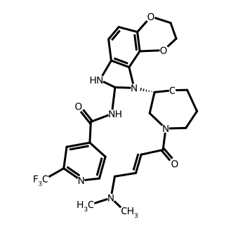 CN(C)C/C=C/C(=O)N1CCCC[C@@H](N2c3c(ccc4c3OCCO4)NC2NC(=O)c2ccnc(C(F)(F)F)c2)C1